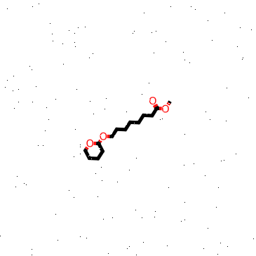 COC(=O)CCCCCCCOC1CCCCO1